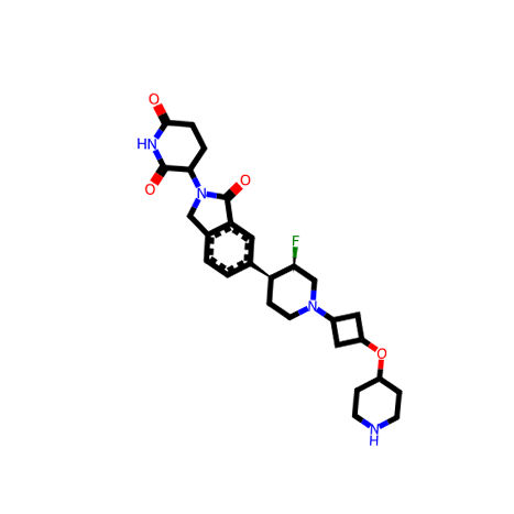 O=C1CCC(N2Cc3ccc([C@@H]4CCN(C5CC(OC6CCNCC6)C5)C[C@@H]4F)cc3C2=O)C(=O)N1